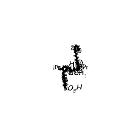 CC(C)Cc1ccc(NC(=O)[C@H](C)NC(=O)[C@@H](NC(=O)CCCCCN2C(=O)C=CC2=O)C(C)C)cc1CCCOCCCS(=O)(=O)O